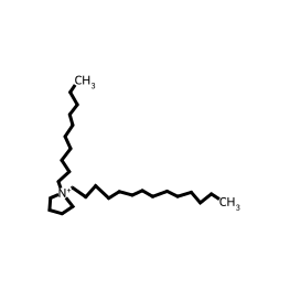 CCCCCCCCCCCCCC[N+]1(CCCCCCCCCC)CCCC1